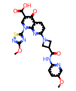 COc1ccc(NC(=O)C2CN(c3ccc4c(=O)c(C(=O)O)cn(-c5nc(OC)ns5)c4n3)C2)nc1